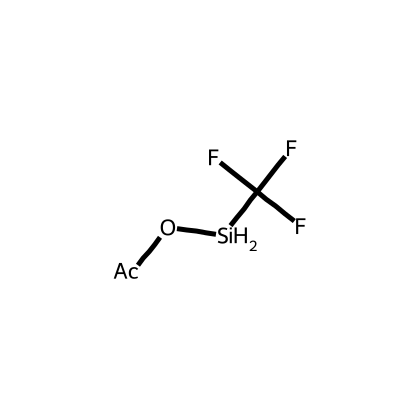 CC(=O)O[SiH2]C(F)(F)F